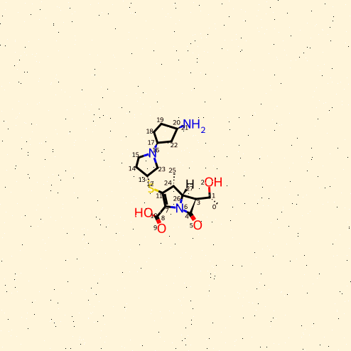 C[C@@H](O)[C@H]1C(=O)N2C(C(=O)O)=C(S[C@@H]3CCN([C@H]4CC[C@@H](N)C4)C3)[C@H](C)[C@H]12